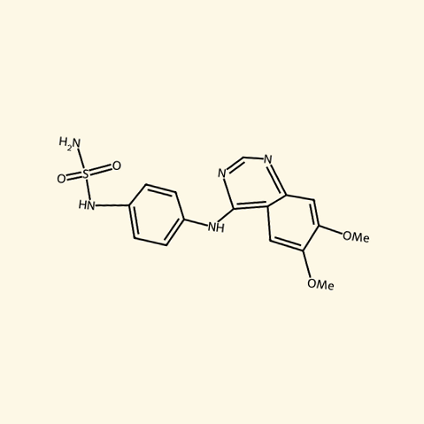 COc1cc2ncnc(Nc3ccc(NS(N)(=O)=O)cc3)c2cc1OC